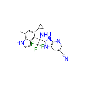 Cc1cc(C2CC2)c(C(N)(c2nc3cc(C#N)cnc3[nH]2)C(F)(F)F)c2cc[nH]c12